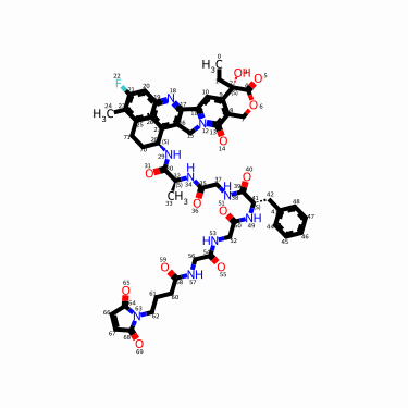 CC[C@@]1(O)C(=O)OCc2c1cc1n(c2=O)Cc2c-1nc1cc(F)c(C)c3c1c2[C@@H](NC(=O)[C@H](C)NC(=O)CNC(=O)[C@H](Cc1ccccc1)NC(=O)CNC(=O)CNC(=O)CCCN1C(=O)C=CC1=O)CC3